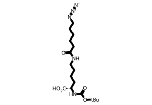 CC(C)(C)OC(=O)N[C@@H](CCCCNC(=O)CCCCCN=[N+]=[N-])C(=O)O